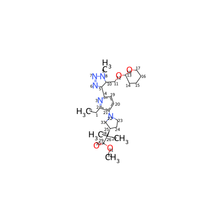 CCc1nc(C2N=NN(C)C2COC2CCCCO2)ccc1N1CC[C@@H](C(C)(C)C(=O)OC)C1